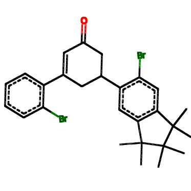 CC1(C)c2cc(Br)c(C3CC(=O)C=C(c4ccccc4Br)C3)cc2C(C)(C)C1(C)C